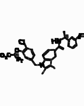 C=C(N[C@@H](C)c1cccc(C(C)C)c1)c1ccc2c(c1)c(C)c(C)n2Cc1ccc(Cl)c(O[C@H](C(=O)O)C(C)C)c1